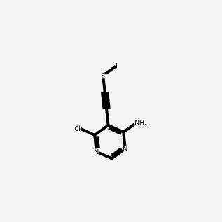 Nc1ncnc(Cl)c1C#CSI